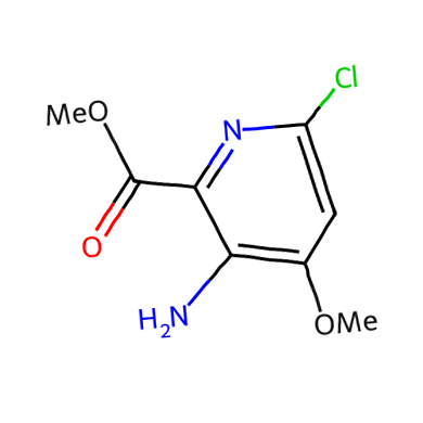 COC(=O)c1nc(Cl)cc(OC)c1N